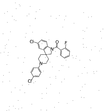 O=C(c1ccccc1F)N1CC2(CCN(c3ccc(Cl)cc3)CC2)c2cc(Cl)ccc21